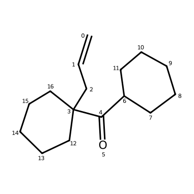 C=CCC1(C(=O)C2CCCCC2)CCCCC1